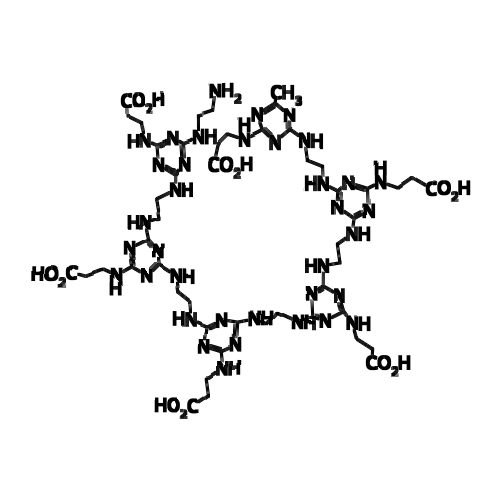 Cc1nc(NCCNc2nc(NCCNc3nc(NCCNc4nc(NCCNc5nc(NCCNc6nc(NCCN)nc(NCCC(=O)O)n6)nc(NCCC(=O)O)n5)nc(NCCC(=O)O)n4)nc(NCCC(=O)O)n3)nc(NCCC(=O)O)n2)nc(NCCC(=O)O)n1